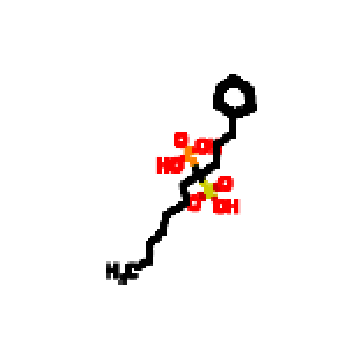 CCCCCCCC(CCCc1ccccc1)(P(=O)(O)O)S(=O)(=O)O